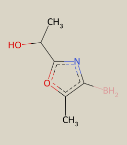 Bc1nc(C(C)O)oc1C